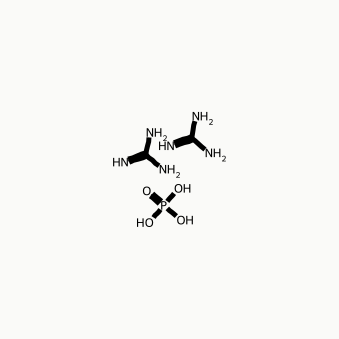 N=C(N)N.N=C(N)N.O=P(O)(O)O